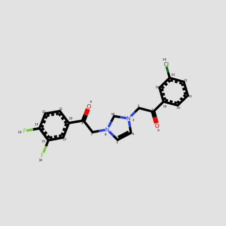 O=C(CN1C=CN(CC(=O)c2ccc(F)c(F)c2)C1)c1cccc(Cl)c1